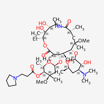 CC[C@H]1OC(=O)[C@H](C)[C@@H](O[C@H]2C[C@@](C)(OC)[C@@H](OC(=O)CCN3CCCC3)[C@H](C)O2)[C@H](C)[C@@H](O[C@@H]2O[C@H](C)C[C@H](N(C)C)[C@H]2O)[C@](C)(OC)C[C@@H](C)C(=O)N[C@H](C)[C@@H](O)[C@]1(C)O